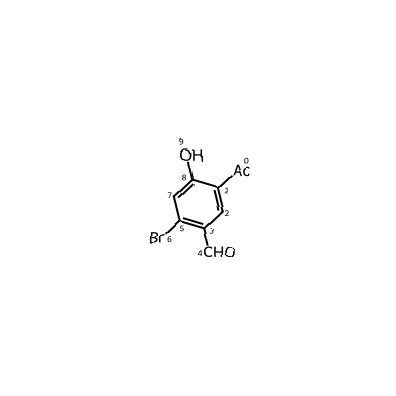 CC(=O)c1cc(C=O)c(Br)cc1O